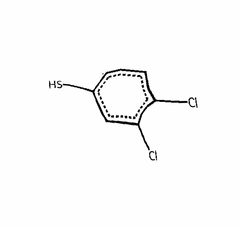 Sc1[c]cc(Cl)c(Cl)c1